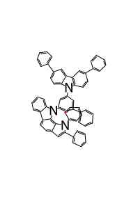 c1ccc(-c2cc(-n3c4ccc(-c5ccccc5)cc4c4cc(-c5ccccc5)ccc43)cc(-n3c4ccccc4c4ccc5cc(-c6ccccc6)n(-c6ccccc6)c5c43)c2)cc1